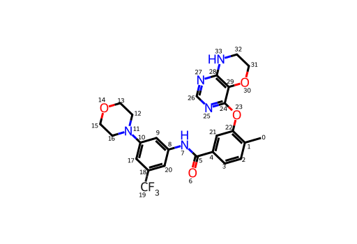 Cc1ccc(C(=O)Nc2cc(N3CCOCC3)cc(C(F)(F)F)c2)cc1Oc1ncnc2c1OCCN2